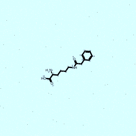 N[C@@H](CCCCNC(=O)Cc1ccccc1)C(=O)O